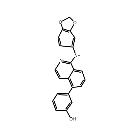 Oc1cccc(-c2cccc3c(Nc4ccc5c(c4)OCO5)nccc23)c1